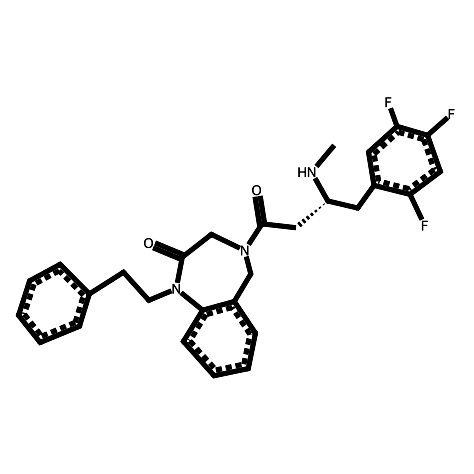 CN[C@@H](CC(=O)N1CC(=O)N(CCc2ccccc2)c2ccccc2C1)Cc1cc(F)c(F)cc1F